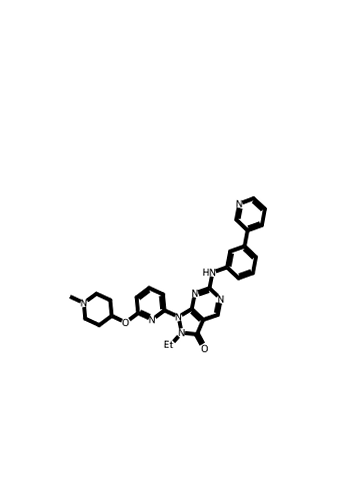 CCn1c(=O)c2cnc(Nc3cccc(-c4cccnc4)c3)nc2n1-c1cccc(OC2CCN(C)CC2)n1